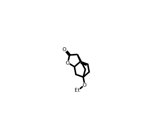 CCOC12CC=C3C(C1)OC(=O)C3C2